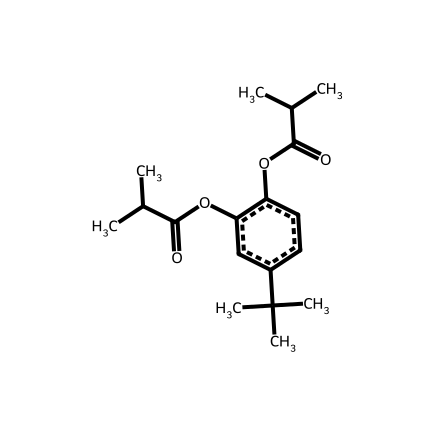 CC(C)C(=O)Oc1ccc(C(C)(C)C)cc1OC(=O)C(C)C